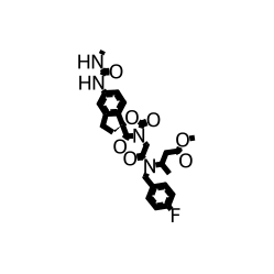 CNC(=O)Nc1ccc2c(c1)CC[C@@]21OC(=O)N(CC(=O)N(Cc2ccc(F)cc2)C(C)CC(=O)OC)C1=O